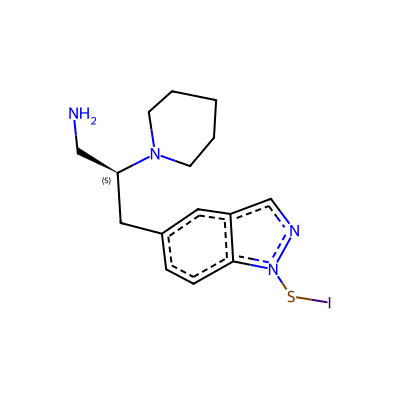 NC[C@H](Cc1ccc2c(cnn2SI)c1)N1CCCCC1